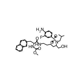 COC(=O)NC(Cc1ccc2ccccc2c1)C(=O)NCCCCC(CO)N(CC(C)C)S(=O)(=O)c1ccc(N)c(F)c1